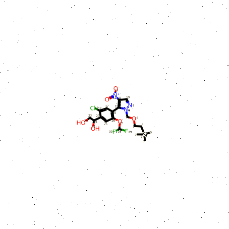 C[Si](C)(C)CCOCn1ncc([N+](=O)[O-])c1-c1cc(Cl)c(C(O)CO)cc1OC(F)F